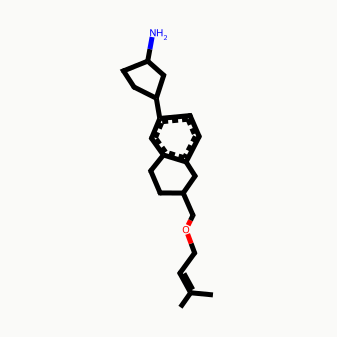 CC(C)=CCOCC1CCc2cc(C3CCC(N)C3)ccc2C1